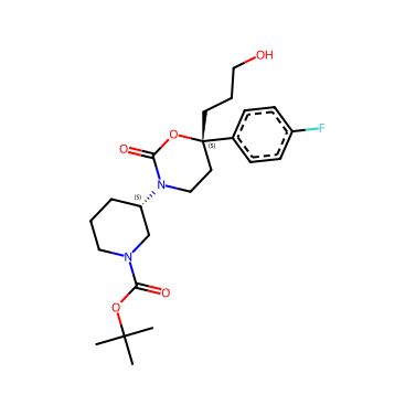 CC(C)(C)OC(=O)N1CCC[C@H](N2CC[C@@](CCCO)(c3ccc(F)cc3)OC2=O)C1